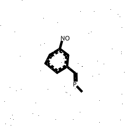 C/P=C/c1cccc(N=O)c1